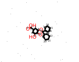 O=C(O)c1cc(O)c2c(c1)OC(c1ccccc1)(c1ccccc1)O2